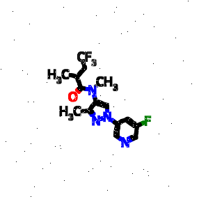 Cc1nn(-c2cncc(F)c2)cc1N(C)C(=O)C(C)CC(F)(F)F